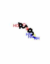 Cc1cc2c(c(C)c1O)CCC(C)(COc1ccc(CC3SC(=N)NC3=N)cc1)O2